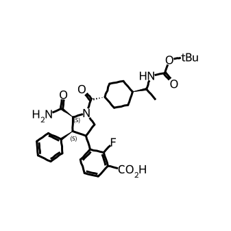 CC(NC(=O)OC(C)(C)C)[C@H]1CC[C@H](C(=O)N2CC(c3cccc(C(=O)O)c3F)[C@@H](c3ccccc3)[C@H]2C(N)=O)CC1